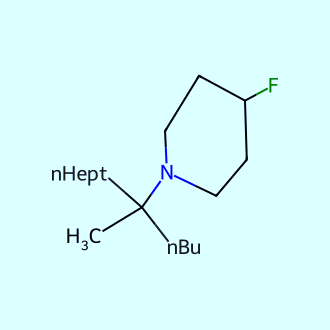 CCCCCCCC(C)(CCCC)N1CCC(F)CC1